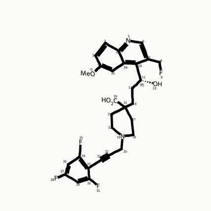 COc1ccc2ncc(CF)c([C@H](O)CCC3(C(=O)O)CCN(CC#Cc4c(F)cc(F)cc4F)CC3)c2c1